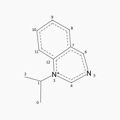 CC(C)[n+]1cncc2ccccc21